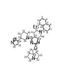 CCc1cccc2cccc(N3CCc4c(nc(OCC56CCCN5CCC6)nc4N4CCCC(c5ccno5)C4)C3)c12